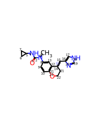 CN(C(=O)NC1CC1)c1ccc2c(c1)/C(=C/c1c[nH]cn1)CCO2